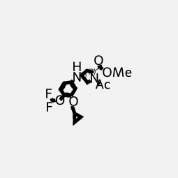 COC(=O)[C@H]1C[C@@H](Nc2ccc(OC(F)F)c(OCC3CC3)c2)CN1C(C)=O